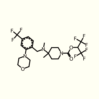 CN(Cc1ccc(C(F)(F)F)cc1N1CCOCC1)C1(C)CCN(C(=O)OC(C(F)(F)F)C(F)(F)F)CC1